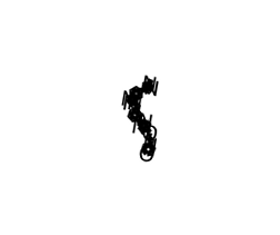 Cn1cc(-c2ccc3nnn(Cc4cccc(-c5ncc(OCCN6CCOCC6)cn5)c4)c3c2)cn1